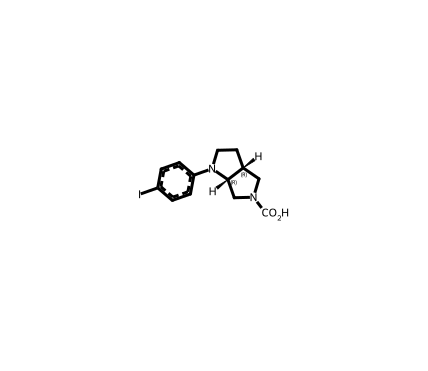 O=C(O)N1C[C@H]2CCN(c3ccc(I)cc3)[C@H]2C1